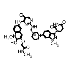 CNC(=O)COC1=Cc2cc(Nc3nc(NC[C@@H]4CCCN(c5ccc6c(C7CCC(=O)NC7=O)nn(C)c6c5)C4)ncc3Cl)ccc2N(C)C1O